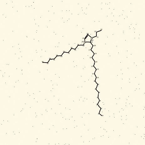 CCCCCCCCCCCCCCCCCCCC1N(CCC)C=CN1CCCCCCCCCCCC